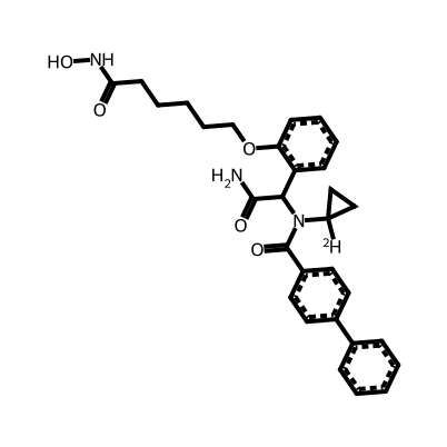 [2H]C1(N(C(=O)c2ccc(-c3ccccc3)cc2)C(C(N)=O)c2ccccc2OCCCCCC(=O)NO)CC1